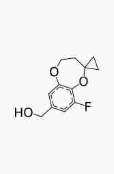 OCc1cc(F)c2c(c1)OCCC1(CC1)O2